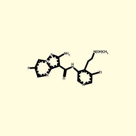 CCc1cncc(NC(=O)c2c(N)nn3cc(F)cnc23)c1CCN(C)O